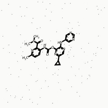 Cc1ccc(NC(=O)Oc2nc(C3CC3)cnc2Nc2cncnc2)c(C(=O)N(C)C)n1